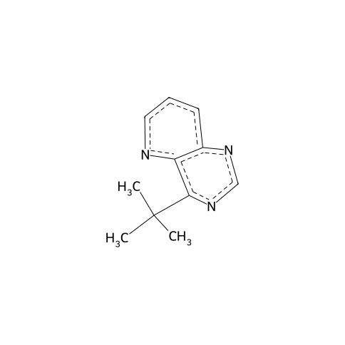 CC(C)(C)c1ncnc2cccnc12